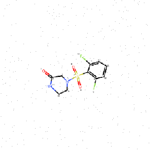 O=C1CN(S(=O)(=O)c2c(F)cccc2F)CCN1